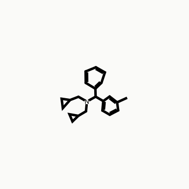 Cc1cccc(C(c2ccccc2)N(CC2CC2)CC2CC2)c1